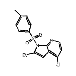 CCc1cc2c(Cl)ccnc2n1S(=O)(=O)c1ccc(C)cc1